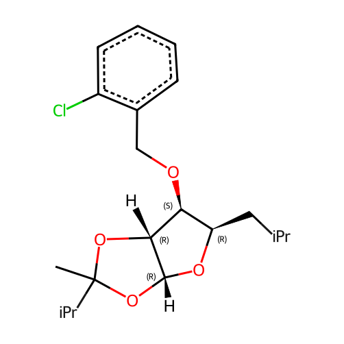 CC(C)C[C@H]1O[C@@H]2OC(C)(C(C)C)O[C@@H]2[C@H]1OCc1ccccc1Cl